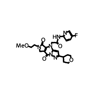 COCCN1Cc2c(n(CC(=O)Nc3ccc(F)cn3)c3cc(C4CCOCC4)nn3c2=O)C1=O